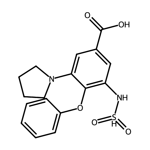 O=C(O)c1cc(N[SH](=O)=O)c(Oc2ccccc2)c(N2CCCC2)c1